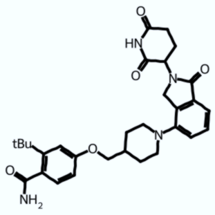 CC(C)(C)c1cc(OCC2CCN(c3cccc4c3CN(C3CCC(=O)NC3=O)C4=O)CC2)ccc1C(N)=O